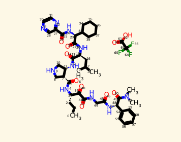 CCC[C@H](NC(=O)[C@@H]1CNC[C@@H]1NC(=O)[C@H](CC(C)C)NC(=O)[C@@H](NC(=O)c1cnccn1)C1CCCCC1)C(=O)C(=O)NCC(=O)N[C@H](C(=O)N(C)C)c1ccccc1.O=C(O)C(F)(F)F